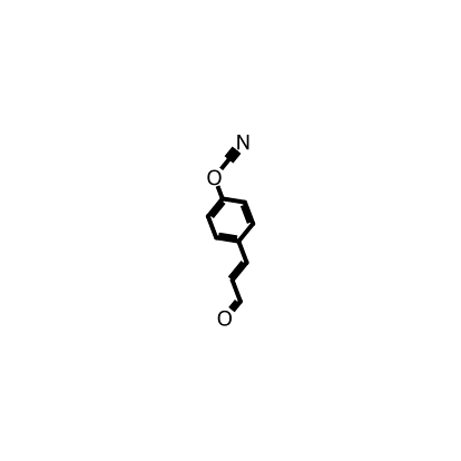 N#COc1ccc(C=CC=O)cc1